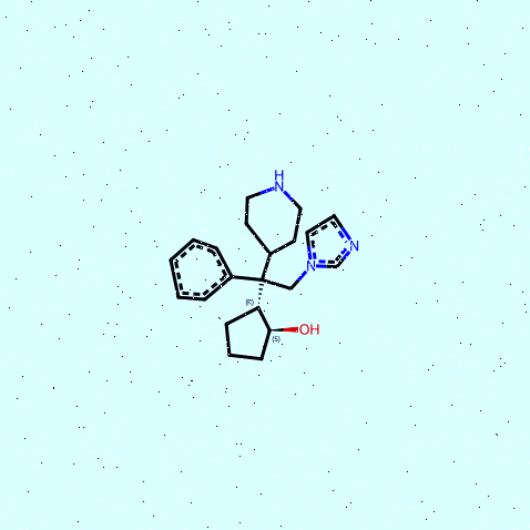 O[C@H]1CCC[C@@H]1C(Cn1ccnc1)(c1ccccc1)C1CCNCC1